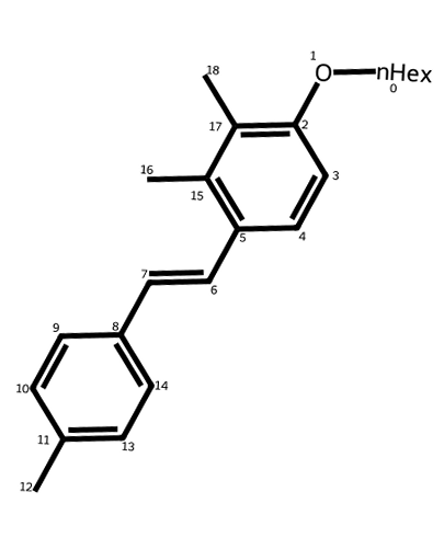 CCCCCCOc1ccc(C=Cc2ccc(C)cc2)c(C)c1C